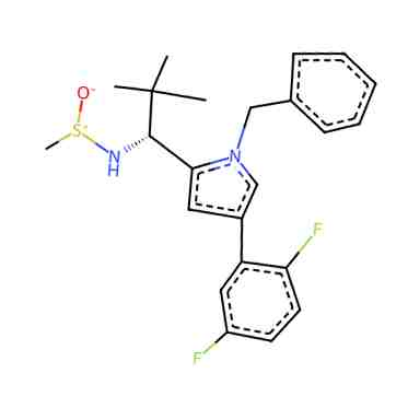 C[S+]([O-])N[C@@H](c1cc(-c2cc(F)ccc2F)cn1Cc1ccccc1)C(C)(C)C